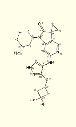 O=C1N([C@@H]2CCC[C@@H](O)C2)c2nc(Nc3c[nH]nc3OC3CC(F)(F)C3)ncc2C12CC2